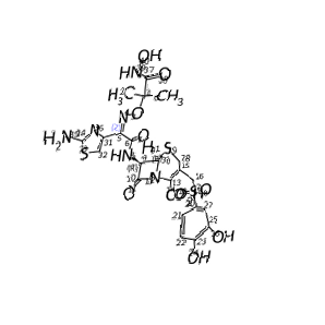 CC(C)(O/N=C(\C(=O)N[C@@H]1C(=O)N2C(C(=O)O)=C(CS(=O)(=O)c3ccc(O)c(O)c3)CS[C@H]12)c1csc(N)n1)C(=O)NO